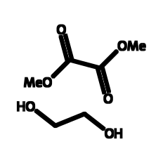 COC(=O)C(=O)OC.OCCO